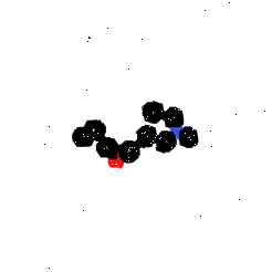 c1ccc(-c2cccc(N(c3ccccc3)c3cccc(-c4cccc(-c5ccc6oc7ccc(-c8cccc9ccccc89)cc7c6c5)c4)c3)c2)cc1